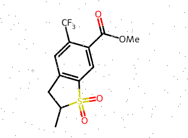 COC(=O)c1cc2c(cc1C(F)(F)F)CC(C)S2(=O)=O